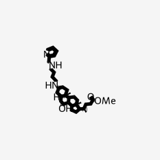 COC(=O)CC[C@@H](C)C1CCC2C3C(CC[C@@]21C)[C@@]1(C)CC[C@@H](NCCCCNCc2ccccn2)C[C@@H]1C[C@H]3O